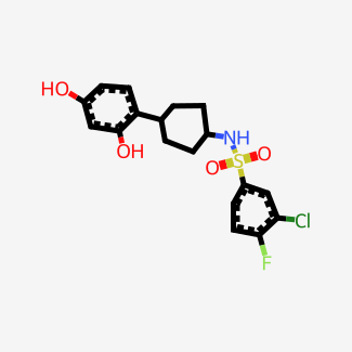 O=S(=O)(NC1CCC(c2ccc(O)cc2O)CC1)c1ccc(F)c(Cl)c1